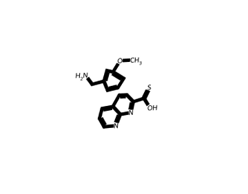 COc1cccc(CN)c1.OC(=S)c1ccc2cccnc2n1